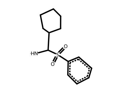 [NH]C(C1CCCCC1)S(=O)(=O)c1ccccc1